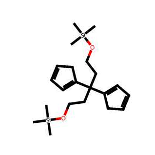 C[Si](C)(C)OCCC(CCO[Si](C)(C)C)(C1=CC=CC1)C1=CC=CC1